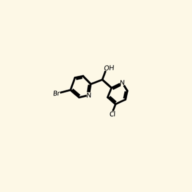 OC(c1ccc(Br)cn1)c1cc(Cl)ccn1